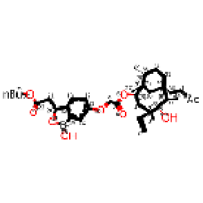 C=C[C@]1(C)C[C@@H](OC(=O)COc2ccc3c(c2)B(O)OC3CC(=O)OCCCC)[C@@]2(C)C[C@](CCC(C)=O)(CC[C@H]2C)[C@@H](C)[C@@H]1O